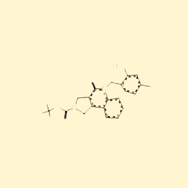 Cc1cc(Cl)ccc1Cn1c(=O)c2c(c3ccccc31)CN(C(=O)OC(C)(C)C)C2